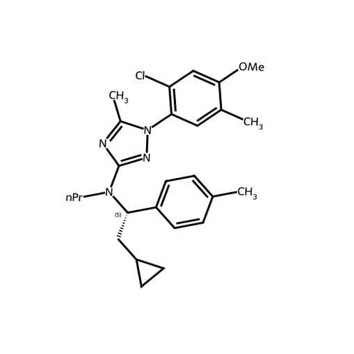 CCCN(c1nc(C)n(-c2cc(C)c(OC)cc2Cl)n1)[C@@H](CC1CC1)c1ccc(C)cc1